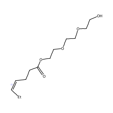 CC/C=C\CCC(=O)OCCOCCOCCO